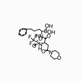 O=C(NC(CCCc1ccccc1)B(O)O)C(CC(=O)N1CCOCC1)NS(=O)(=O)C(F)(F)F